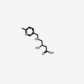 Cc1ccc(CNCC(O)CC(=O)O)cn1